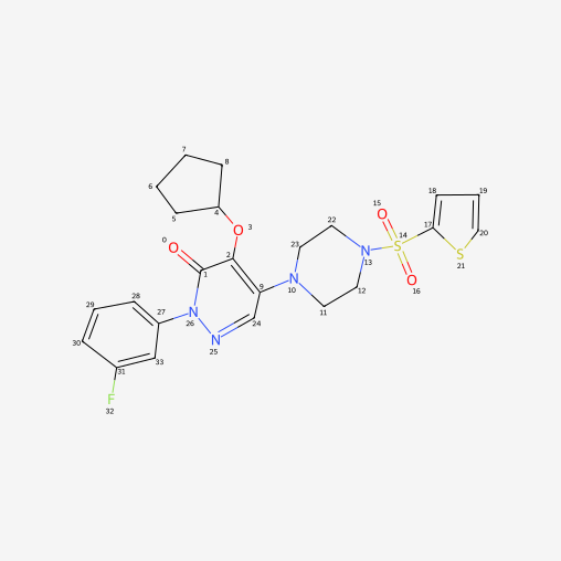 O=c1c(OC2CCCC2)c(N2CCN(S(=O)(=O)c3cccs3)CC2)cnn1-c1cccc(F)c1